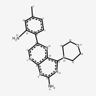 Cc1ccc(-c2cnc3nc(N)nc(N4CCOCC4)c3n2)c(N)c1